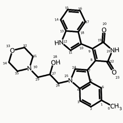 Cc1ccc2c(c1)c(C1=C(c3c[nH]c4ccccc34)C(=O)NC1=O)cn2CC(O)CN1CCOCC1